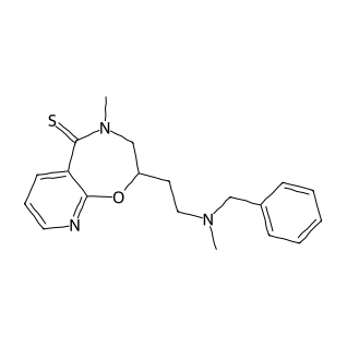 CN(CCC1CN(C)C(=S)c2cccnc2O1)Cc1ccccc1